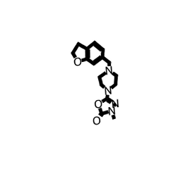 Cn1nc(N2CCN(Cc3ccc4c(c3)OCC4)CC2)oc1=O